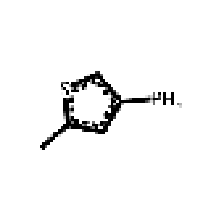 Cc1cc(P)cs1